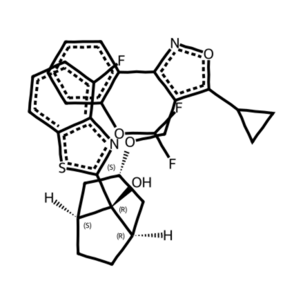 O[C@@]1(c2nc3c(F)cccc3s2)[C@@H]2CC[C@H]1C[C@H](OCc1c(-c3ccccc3OC(F)F)noc1C1CC1)C2